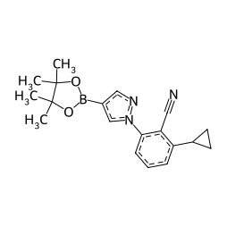 CC1(C)OB(c2cnn(-c3cccc(C4CC4)c3C#N)c2)OC1(C)C